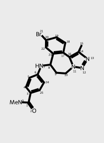 CNC(=O)c1ccc(NC2CCn3nnc(C)c3-c3ccc(Br)cc32)cc1